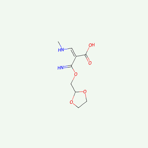 CN/C=C(\C(=N)OCC1OCCO1)C(=O)O